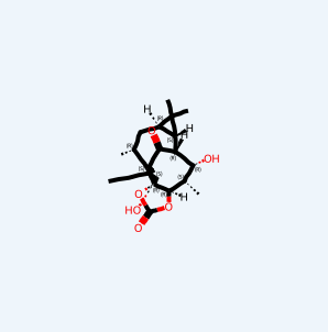 CC1=C[C@]23C(=O)[C@@H]([C@H](O)[C@H](C)[C@H]4OC(=O)O[C@]42[C@H]1O)[C@@H]1[C@@H](C[C@H]3C)C1(C)C